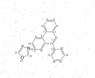 C(=C\c1ccccc1-c1ccccc1)/c1ccccc1.c1cocn1